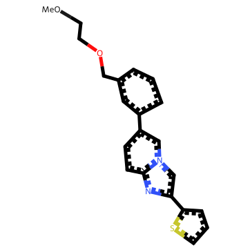 COCCOCc1cccc(-c2ccc3nc(-c4cccs4)cn3c2)c1